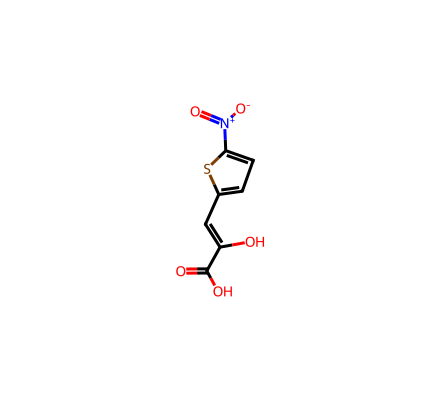 O=C(O)/C(O)=C/c1ccc([N+](=O)[O-])s1